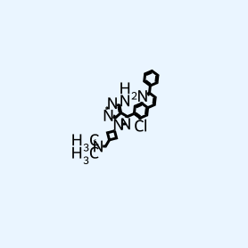 CN(C)CC1CC(n2nc(-c3cc4nc(-c5ccccc5)ccc4cc3Cl)c3c(N)ncnc32)C1